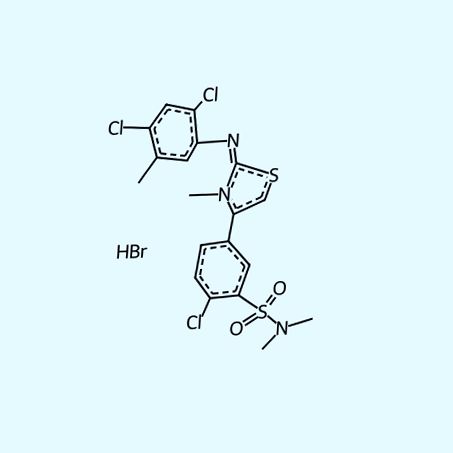 Br.Cc1cc(N=c2scc(-c3ccc(Cl)c(S(=O)(=O)N(C)C)c3)n2C)c(Cl)cc1Cl